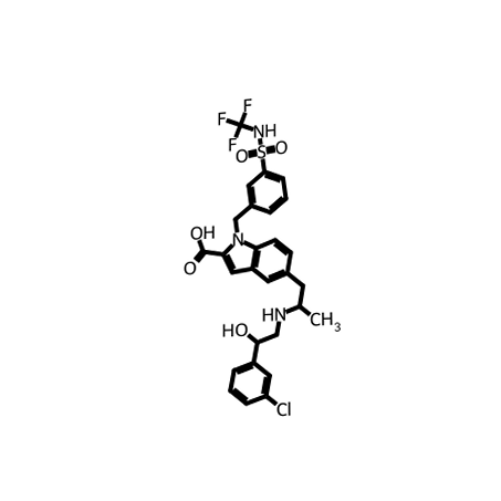 CC(Cc1ccc2c(c1)cc(C(=O)O)n2Cc1cccc(S(=O)(=O)NC(F)(F)F)c1)NCC(O)c1cccc(Cl)c1